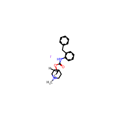 C[N+]12CCC(CC1)[C@@H](OC(=O)Nc1ccccc1Cc1ccccc1)C2.[I-]